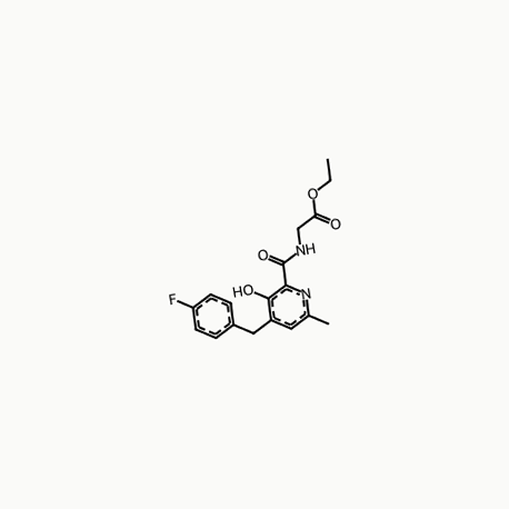 CCOC(=O)CNC(=O)c1nc(C)cc(Cc2ccc(F)cc2)c1O